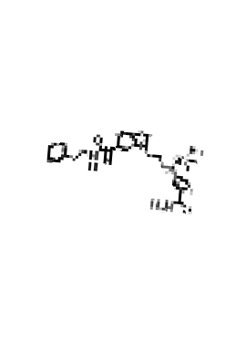 CC(C)(C)[Si](C)(C)O[C@H](CCCn1ccc2ccc(NC(=O)NCCc3ccccc3)cc21)n1cnc(C(N)=O)c1